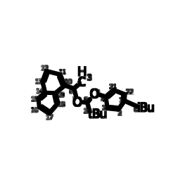 CCC(C)c1ccc(OC(OC(C)c2cccc3ccccc23)C(C)(C)C)cc1